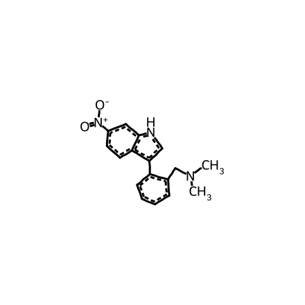 CN(C)Cc1ccccc1-c1c[nH]c2cc([N+](=O)[O-])ccc12